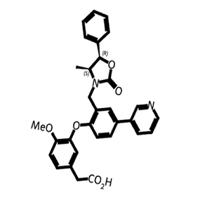 COc1ccc(CC(=O)O)cc1Oc1ccc(-c2cccnc2)cc1CN1C(=O)O[C@H](c2ccccc2)[C@@H]1C